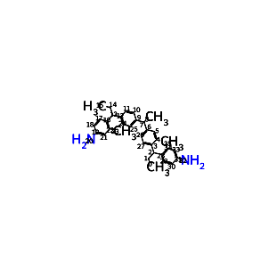 CCC(c1ccc(C(C)c2ccc(C(CC)c3ccc(N)cc3C)cc2)cc1)c1ccc(N)cc1C